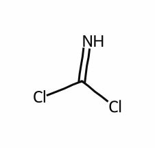 N=C(Cl)Cl